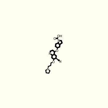 N#Cc1cc2c(Oc3ccc4c(ccn4C(=O)O)c3)ccnc2cc1OCCCN1CCCC1